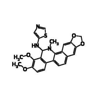 COc1ccc2c(c1OC)C(Nc1cncs1)N(C)c1c-2ccc2cc3c(cc12)OCO3